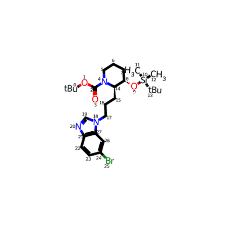 CC(C)(C)OC(=O)N1CCC[C@H](O[Si](C)(C)C(C)(C)C)[C@H]1CCCn1cnc2ccc(Br)cc21